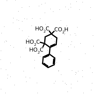 O=C(O)C1(C(=O)O)CC=C(c2ccccc2)C(C(=O)O)(C(=O)O)C1